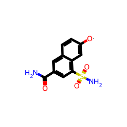 NC(=O)c1cc(S(N)(=O)=O)c2cc([O])ccc2c1